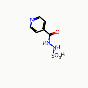 O=C(NNS(=O)(=O)O)c1ccncc1